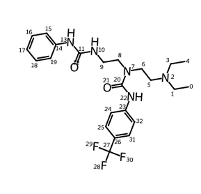 CCN(CC)CCN(CCNC(=O)Nc1ccccc1)C(=O)Nc1ccc(C(F)(F)F)cc1